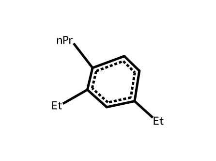 CCCc1ccc(CC)cc1CC